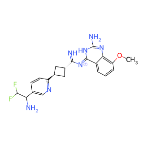 COc1cccc2/c(=N/C(=N)[C@H]3C[C@H](c4ccc(C(N)C(F)F)cn4)C3)[nH]c(N)nc12